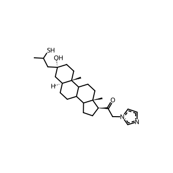 CC(S)C[C@@]1(O)CC[C@]2(C)C3CC[C@@]4(C)C(CC[C@@H]4C(=O)Cn4ccnc4)C3CC[C@H]2C1